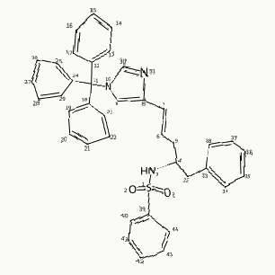 O=S(=O)(NC(CC=Cc1cn(C(c2ccccc2)(c2ccccc2)c2ccccc2)cn1)Cc1ccccc1)c1ccccc1